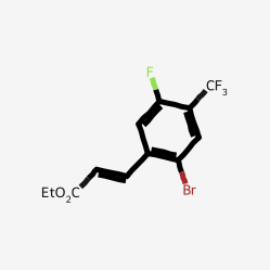 CCOC(=O)/C=C/c1cc(F)c(C(F)(F)F)cc1Br